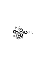 Cc1ccc(N2c3ccc(C)cc3B3c4cc5ccccc5cc4C(C)(C)c4c(C)ccc2c43)cc1